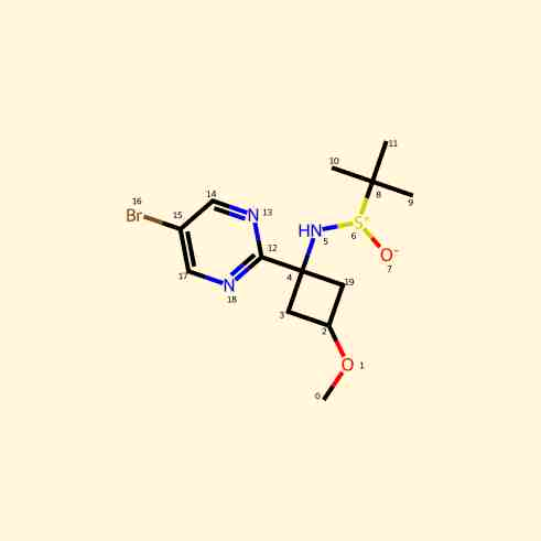 COC1CC(N[S+]([O-])C(C)(C)C)(c2ncc(Br)cn2)C1